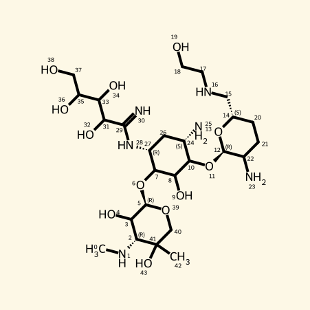 CN[C@@H]1C(O)[C@@H](OC2C(O)C(O[C@H]3O[C@H](CNCCO)CCC3N)[C@@H](N)C[C@H]2NC(=N)C(O)C(O)C(O)CO)OCC1(C)O